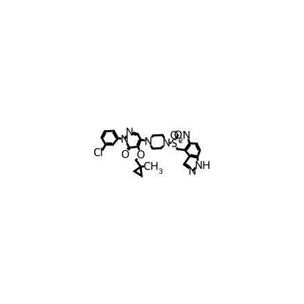 CC1(COc2c(N3CCN([S+]([O-])Cc4c([N+](=O)[O-])ccc5[nH]ncc45)CC3)cnn(-c3cccc(Cl)c3)c2=O)CC1